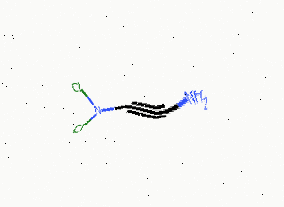 NC#CN(Cl)Cl